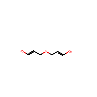 OC=CCOCC=CO